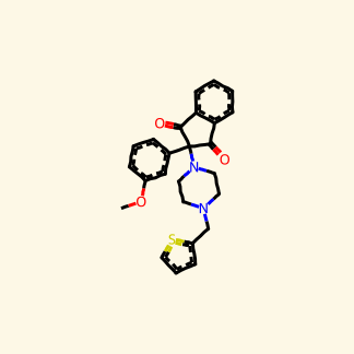 COc1cccc(C2(N3CCN(Cc4cccs4)CC3)C(=O)c3ccccc3C2=O)c1